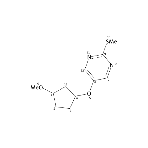 COC1CCC(Oc2cnc(SC)nc2)C1